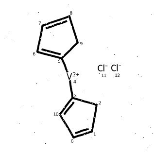 C1=CC[C]([V+2][C]2=CC=CC2)=C1.[Cl-].[Cl-]